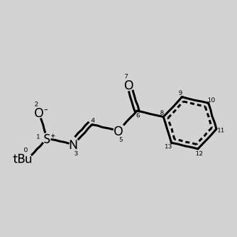 CC(C)(C)[S+]([O-])N=COC(=O)c1ccccc1